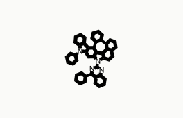 c1ccc(-c2nc(-n3c4cc5c(c6c4c4c7c(cccc7ccc43)-c3ccccc3-6)c3ccccc3n5-c3ccccc3)nc3ccccc23)cc1